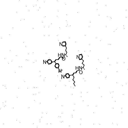 CCCCC/C(=C\C=C\C(=O)N[C@H](C)CCCc1cccnc1)c1ccc(N(C)C)cc1.C[C@H](CCCc1cccnc1)NC(=O)/C=C/C=C(c1ccc(N(C)C)cc1)c1ccc(N(C)C)cc1